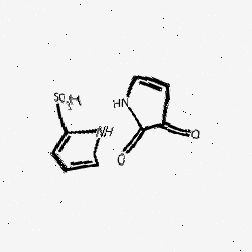 O=C1C=CNC1=O.O=S(=O)(O)c1ccc[nH]1